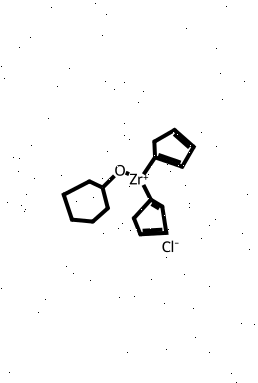 C1=CC[C]([Zr+]([O]C2CCCCC2)[C]2=CC=CC2)=C1.[Cl-]